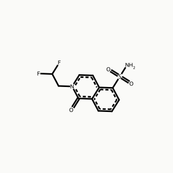 NS(=O)(=O)c1cccc2c(=O)n(CC(F)F)ccc12